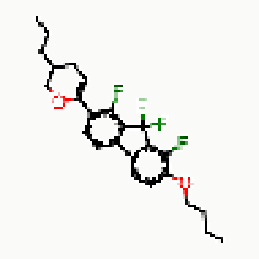 CCCCOc1ccc2c(c1F)C(F)(F)c1c-2ccc(C2=CCC(CCC)CO2)c1F